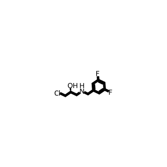 O[C@H](CCl)CNCc1cc(F)cc(F)c1